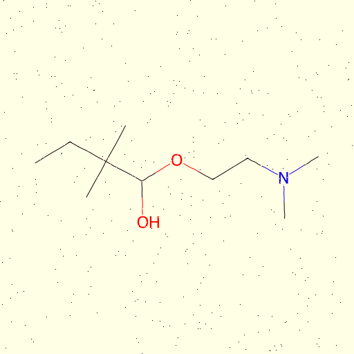 CCC(C)(C)C(O)OCCN(C)C